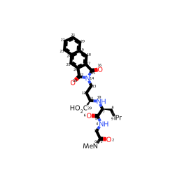 CNC(=O)CNC(=O)[C@H](CC(C)C)N[C@H](CCN1C(=O)c2cc3ccccc3cc2C1=O)C(=O)O